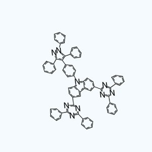 c1ccc(-c2nc(-c3ccccc3)nc(-c3ccc4c(c3)c3cc(-c5nc(-c6ccccc6)nc(-c6ccccc6)n5)ccc3n4-c3ccc(-c4c(-c5ccccc5)nn(-c5ccccc5)c4-c4ccccc4)cc3)n2)cc1